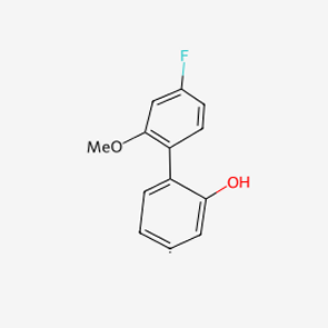 COc1cc(F)ccc1-c1cc[c]cc1O